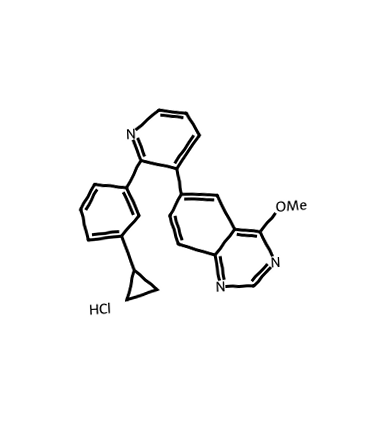 COc1ncnc2ccc(-c3cccnc3-c3cccc(C4CC4)c3)cc12.Cl